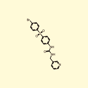 O=C(NCc1cccnc1)Nc1ccc(S(=O)(=O)c2ccc(Br)cc2)cc1